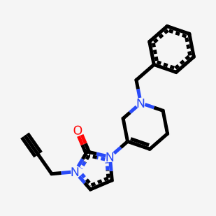 C#CCn1ccn(C2=CCCN(Cc3ccccc3)C2)c1=O